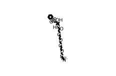 CC(C)(CNC(=O)CCOCCOCCOCCOCCN=[N+]=[N-])C(O)CS(=O)(=O)c1ccccc1